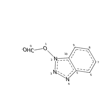 O=[C]On1nnc2ccccc21